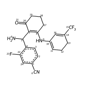 N#Cc1ccc(C(N)C2=C(NC3=CCCC(C(F)(F)F)=C3)CCCC2=O)c(F)c1